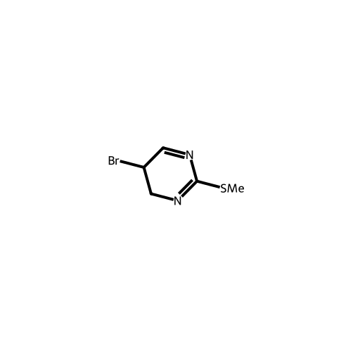 CSC1=NCC(Br)C=N1